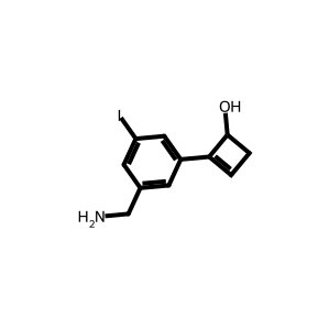 NCc1cc(I)cc(C2=CCC2O)c1